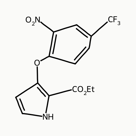 CCOC(=O)c1[nH]ccc1Oc1ccc(C(F)(F)F)cc1[N+](=O)[O-]